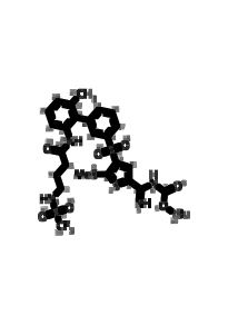 CSc1sc(C(=N)NC(=O)OC(C)(C)C)cc1S(=O)(=O)c1cccc(-c2c(C)cccc2NC(=O)CCCNS(=O)(=O)C(F)(F)F)c1